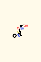 Cc1nn(C2CCCCC2)c2sc(C(=O)N[C@H]3C[C@@H]3CO)cc12